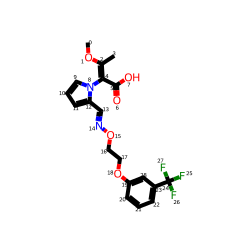 COC(C)=C(C(=O)O)n1cccc1C=NOCCOc1cccc(C(F)(F)F)c1